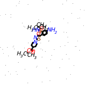 CC(C)OC(=O)C1CCN(c2ncc(-c3ccc(N)cc3S(=O)(=O)NC(C)(C)C)s2)CC1